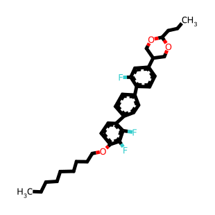 CCCCCCCCCOc1ccc(-c2ccc(-c3ccc(C4COC(CCC)OC4)cc3F)cc2)c(F)c1F